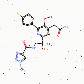 CCOc1c(CC(N)=O)cc([C@@](O)(CNC(=O)c2cn(C)nn2)C(F)(F)F)nc1-c1ccc(F)cc1